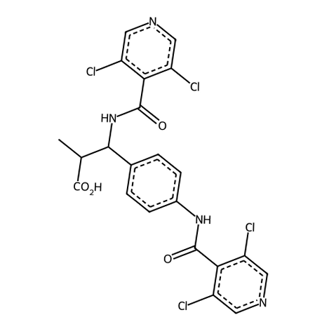 CC(C(=O)O)C(NC(=O)c1c(Cl)cncc1Cl)c1ccc(NC(=O)c2c(Cl)cncc2Cl)cc1